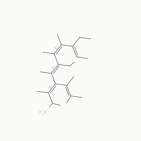 BC(C)/C(C)=C(C(C)=C(C)C)/C(C)=C(CC)/C(C)=C(/C)C(=CC)CC